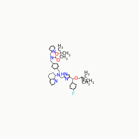 CC(C)(C)OC(=O)N(Cc1ccc(CN(Cc2nc(C(OCC[Si](C)(C)C)c3ccc(F)cc3)c[nH]2)C2CCCc3cccnc32)cc1)Cc1ccccn1